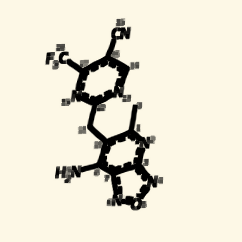 Cc1nc2nonc2c(N)c1Cc1ncc(C#N)c(C(F)(F)F)n1